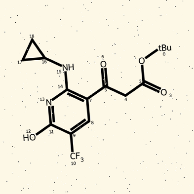 CC(C)(C)OC(=O)CC(=O)c1cc(C(F)(F)F)c(O)nc1NC1CC1